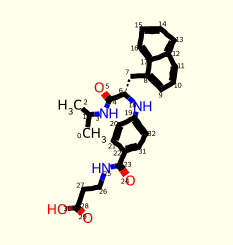 CC(C)NC(=O)[C@H](Cc1cccc2ccccc12)Nc1ccc(C(=O)NCCC(=O)O)cc1